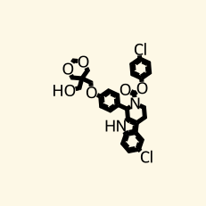 O=C(Oc1ccc(Cl)cc1)N1CCc2c([nH]c3ccc(Cl)cc23)C1c1ccc(OCC2(CO)COCOC2)cc1